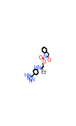 CCC(=CCOC(=O)N1C(=O)Cc2ccccc21)Nc1ccc(-c2nnn[nH]2)cc1